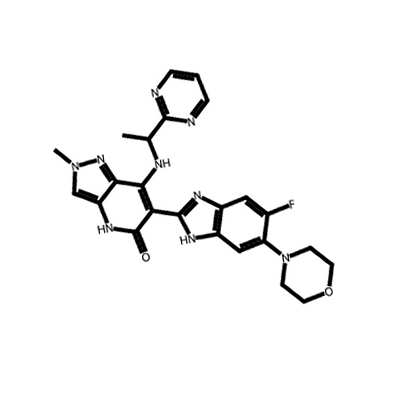 CC(Nc1c(-c2nc3cc(F)c(N4CCOCC4)cc3[nH]2)c(=O)[nH]c2cn(C)nc12)c1ncccn1